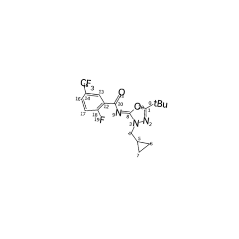 CC(C)(C)c1nn(CC2CC2)/c(=N/C(=O)c2cc(C(F)(F)F)ccc2F)o1